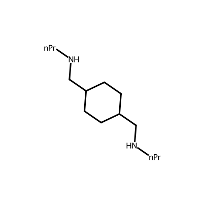 CCCNCC1CCC(CNCCC)CC1